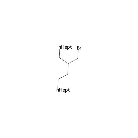 CCCCCCCCCC(CBr)CCCCCCCC